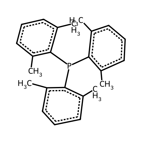 Cc1cccc(C)c1P(c1c(C)cccc1C)c1c(C)cccc1C